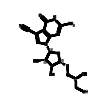 N#Cc1cn([C@@H]2O[C@H](OOP(O)CO)C(O)[C@@H]2O)c2nc(N)[nH]c(=O)c12